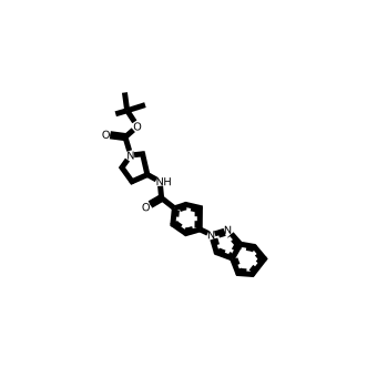 CC(C)(C)OC(=O)N1CCC(NC(=O)c2ccc(-n3cc4ccccc4n3)cc2)C1